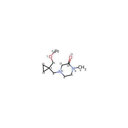 CC(C)OCC1(CN2CCN(C)C(=O)C2)CC1